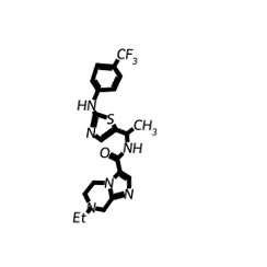 CCN1CCn2c(C(=O)NC(C)c3cnc(Nc4ccc(C(F)(F)F)cc4)s3)cnc2C1